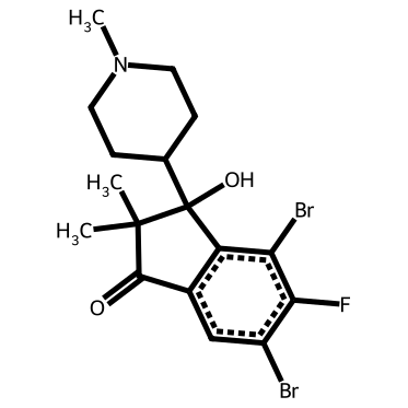 CN1CCC(C2(O)c3c(cc(Br)c(F)c3Br)C(=O)C2(C)C)CC1